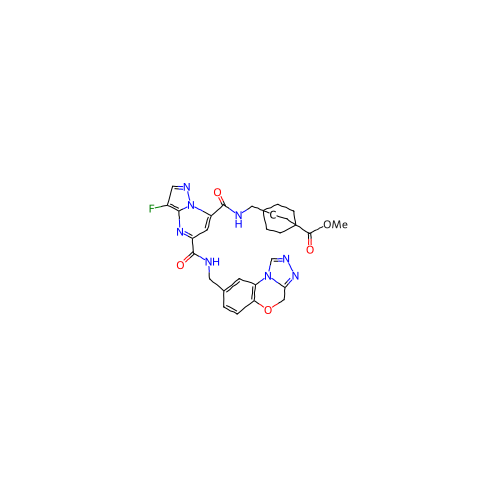 COC(=O)C12CCC(CNC(=O)c3cc(C(=O)NCc4ccc5c(c4)-n4cnnc4CO5)nc4c(F)cnn34)(CC1)CC2